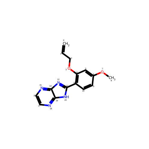 C=CCOc1cc(OC)ccc1-c1nc2nccnc2[nH]1